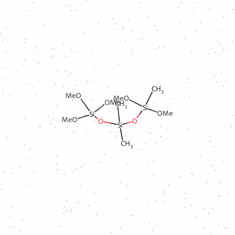 CO[Si](C)(OC)O[Si](C)(C)O[Si](OC)(OC)OC